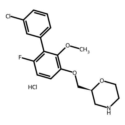 COc1c(OC[C@@H]2CNCCO2)ccc(F)c1-c1cccc(Cl)c1.Cl